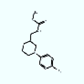 CC(C)(C)OC(=O)NCC1CN(c2ccc(C(F)(F)F)cc2)CCO1